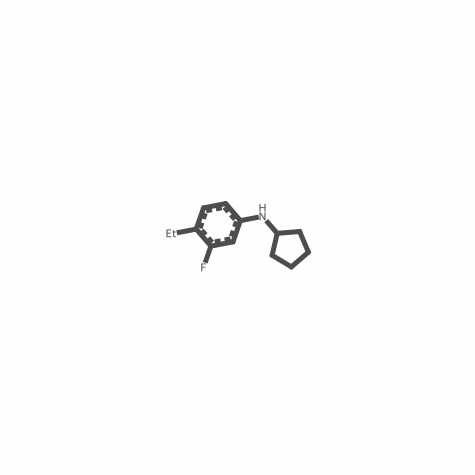 CCc1ccc(NC2CCCC2)cc1F